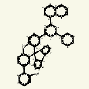 N#Cc1ccccc1-c1ccc2c(c1)C1(c3cc(-c4nc(-c5ccccc5)nc(-c5cccc6ccccc56)n4)ccc3O2)c2ccccc2-c2ccccc21